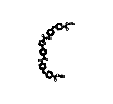 CC(C)(C)OC(=O)N1CCN(Cc2ccc(NC(=O)c3ccc(-c4csc(C(=O)Nc5ccc(CN6CCN(C(=O)OC(C)(C)C)CC6)cc5)n4)cc3)cc2)CC1